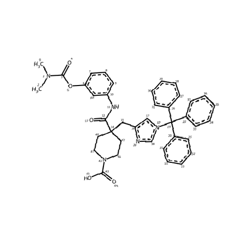 CN(C)C(=O)Oc1cccc(NC(=O)C2(Cc3cn(C(c4ccccc4)(c4ccccc4)c4ccccc4)cn3)CCN(C(=O)O)CC2)c1